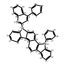 c1ccc(-c2cc(-n3c4ccccc4c4c5ccc6c7ccccc7n(-c7ccccc7)c6c5ccc43)nc3ccccc23)cc1